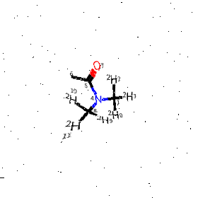 [2H]C([2H])([2H])N(C(C)=O)C([2H])([2H])[2H]